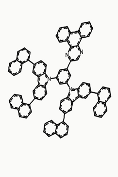 c1ccc2c(-c3ccc4c(c3)c3cc(-c5cccc6ccccc56)ccc3n4-c3cc(-c4cnc5c6ccccc6c6ccccc6c5n4)cc(-n4c5ccc(-c6cccc7ccccc67)cc5c5cc(-c6cccc7ccccc67)ccc54)c3)cccc2c1